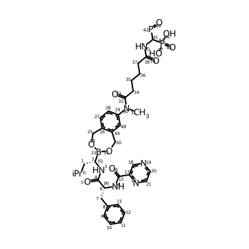 CC(C)C[C@@H](NC(=O)[C@@H](Cc1ccccc1)NC(=O)c1cnccn1)B1OCc2ccc(N(C)C(=O)CCCCC(=O)NC(P=O)P(=O)(O)O)cc2CO1